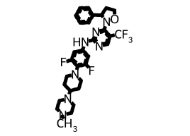 CN1CCN(C2CCN(c3c(F)cc(Nc4ncc(C(F)(F)F)c(N5OCCC5c5ccccc5)n4)cc3F)CC2)CC1